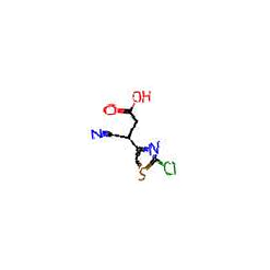 N#CC(CC(=O)O)c1csc(Cl)n1